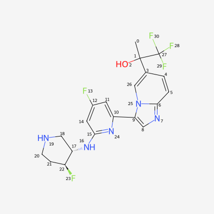 CC(O)(c1ccc2ncc(-c3cc(F)cc(N[C@H]4CNCC[C@@H]4F)n3)n2c1)C(F)(F)F